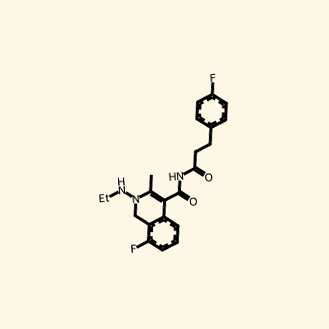 CCNN1Cc2c(F)cccc2C(C(=O)NC(=O)CCc2ccc(F)cc2)=C1C